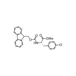 COC(=O)[C@H](Cc1ccc(Cl)cc1)NC(=O)OCC1c2ccccc2-c2ccccc21